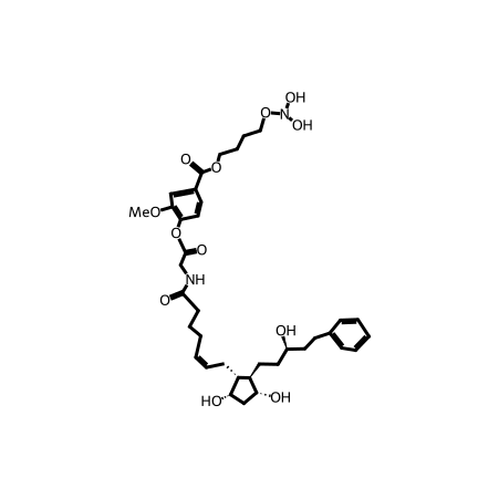 COc1cc(C(=O)OCCCCON(O)O)ccc1OC(=O)CNC(=O)CCC/C=C\C[C@@H]1[C@@H](CC[C@@H](O)CCc2ccccc2)[C@H](O)C[C@@H]1O